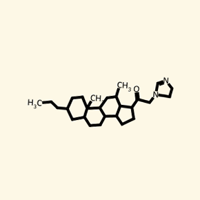 CCCC1CCC2(C)C(CCC3C4CCC(C(=O)CN5C=NCC5)C4C(C)CC32)C1